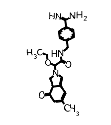 CCOC(C(=O)NCc1ccc(C(=N)N)cc1)N1C=C2C=C(C)CC(=O)C2C1